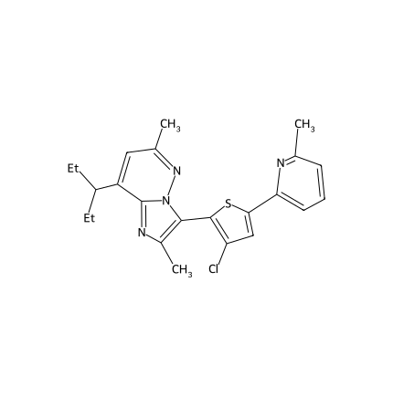 CCC(CC)c1cc(C)nn2c(-c3sc(-c4cccc(C)n4)cc3Cl)c(C)nc12